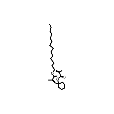 C=C(C)C(=O)OC1(C=C(C)C(=O)OCCCCCCCCCCCCCC)CCCCC1